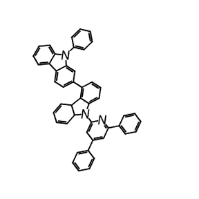 C1=CC2c3c(-c4ccc5c6ccccc6n(-c6ccccc6)c5c4)cccc3N(c3cc(-c4ccccc4)cc(-c4ccccc4)n3)C2C=C1